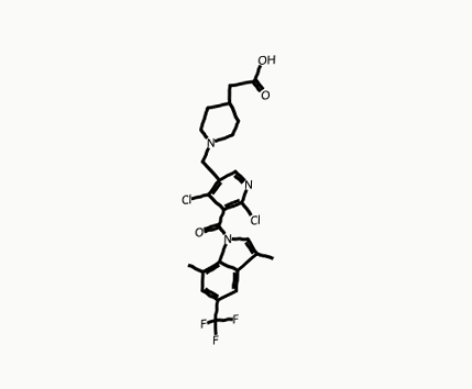 Cc1cn(C(=O)c2c(Cl)ncc(CN3CCC(CC(=O)O)CC3)c2Cl)c2c(C)cc(C(F)(F)F)cc12